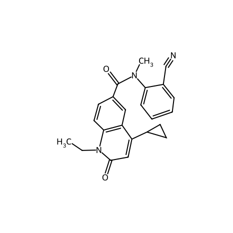 CCn1c(=O)cc(C2CC2)c2cc(C(=O)N(C)c3ccccc3C#N)ccc21